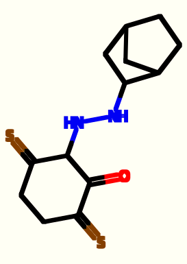 O=C1C(=S)CCC(=S)C1NNC1CC2CCC1C2